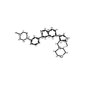 CN1CCN(c2cccc(-c3cc4cc(-c5cnn(C)c5CN5CCOCC5)ccc4cn3)c2)CC1